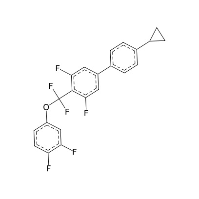 Fc1ccc(OC(F)(F)c2c(F)cc(-c3ccc(C4CC4)cc3)cc2F)cc1F